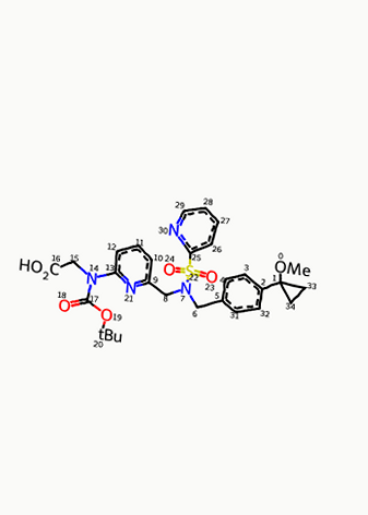 COC1(c2ccc(CN(Cc3cccc(N(CC(=O)O)C(=O)OC(C)(C)C)n3)S(=O)(=O)c3ccccn3)cc2)CC1